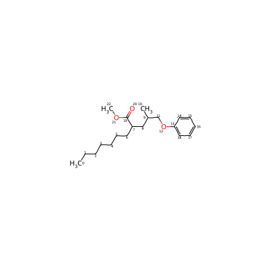 CCCCCCCC(CC(C)COc1[c]cccc1)C(=O)OC